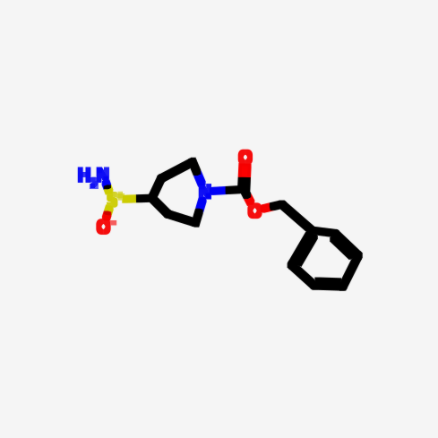 N[S+]([O-])C1CCN(C(=O)OCc2ccccc2)CC1